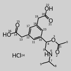 CC(=O)OC(CNC(C)C)c1cc(CC(=O)O)cc(CC(=O)O)c1.Cl